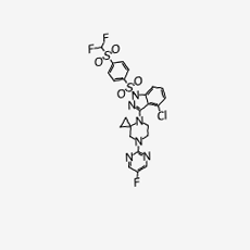 O=S(=O)(c1ccc(S(=O)(=O)n2nc(N3CCN(c4ncc(F)cn4)CC34CC4)c3c(Cl)cccc32)cc1)C(F)F